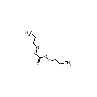 CCCOOC(=O)OOCCC